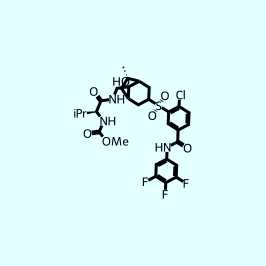 COC(=O)N[C@H](C(=O)NC[C@@]1(O)C2CC(S(=O)(=O)c3cc(C(=O)Nc4cc(F)c(F)c(F)c4)ccc3Cl)CC1[C@@H](C)C2)C(C)C